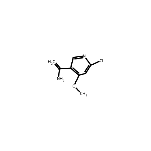 C=C(N)c1cnc(Cl)cc1OC